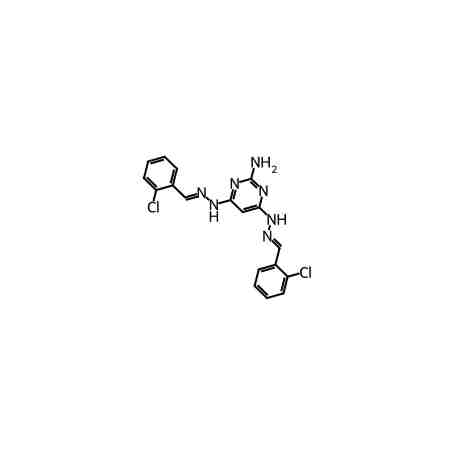 Nc1nc(NN=Cc2ccccc2Cl)cc(NN=Cc2ccccc2Cl)n1